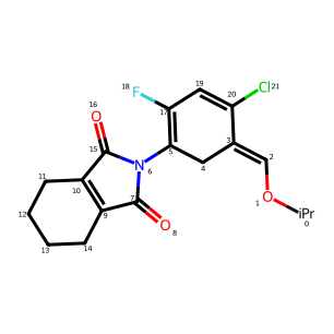 CC(C)OC=C1CC(N2C(=O)C3=C(CCCC3)C2=O)=C(F)C=C1Cl